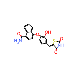 NC(=O)c1ccc(Oc2ccc(/C=C3\SC(=O)NC3=O)cc2O)c2ccccc12